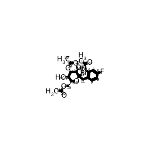 CC(=O)Nc1cc(F)ccc1CC1(Br)O[C@H](COC(C)=O)[C@@H](O)[C@H](OC(C)=O)[C@H]1O